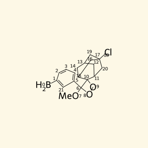 Bc1cccc(C2(OC)OOC23C2CC4CC3CC(Cl)(C4)C2)c1